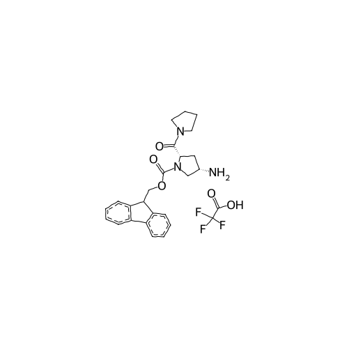 N[C@H]1C[C@@H](C(=O)N2CCCC2)N(C(=O)OCC2c3ccccc3-c3ccccc32)C1.O=C(O)C(F)(F)F